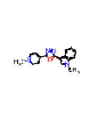 CN1CC=C(c2nnc(-c3cn(C)c4ccccc34)o2)CC1